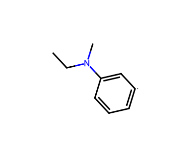 CCN(C)c1c[c]ccc1